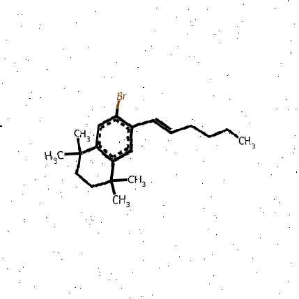 CCCCC=Cc1cc2c(cc1Br)C(C)(C)CCC2(C)C